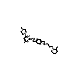 Cc1cc(N2CCN(C)CC2)nc(NCc2ccc(CNCCCN3CCCCC3C)cc2)n1